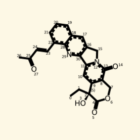 CC[C@@]1(O)C(=O)OCc2c1cc1n(c2=O)Cc2cc3cccc(C=CC(C)=O)c3nc2-1